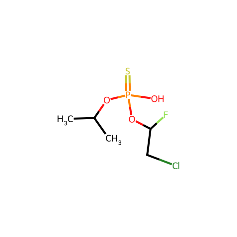 CC(C)OP(O)(=S)OC(F)CCl